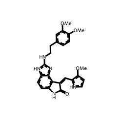 COc1ccc(CCNc2nc3c4c(ccc3[nH]2)NC(=O)/C4=C\c2[nH]ccc2OC)cc1OC